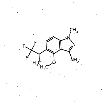 COc1c(C(C)C(F)(F)F)ccc2c1c(N)nn2C